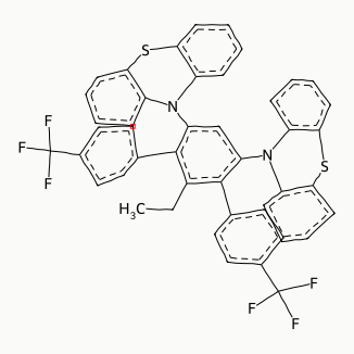 CCc1c(-c2ccc(C(F)(F)F)cc2)c(N2c3ccccc3Sc3ccccc32)cc(N2c3ccccc3Sc3ccccc32)c1-c1ccc(C(F)(F)F)cc1